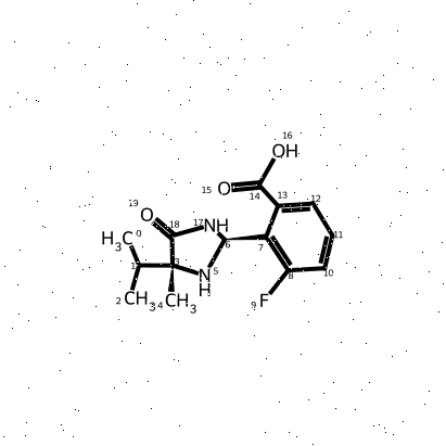 CC(C)[C@@]1(C)N[C@H](c2c(F)cccc2C(=O)O)NC1=O